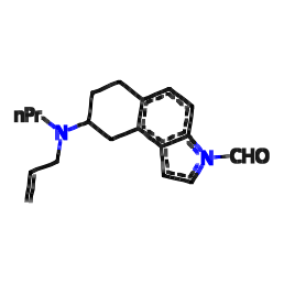 C=CCN(CCC)C1CCc2ccc3c(ccn3C=O)c2C1